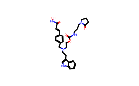 O=C(/C=C/c1ccc(CN(CCOC(=O)NCCCN2CCCC2=O)CCc2c[nH]c3ccccc23)cc1)NO